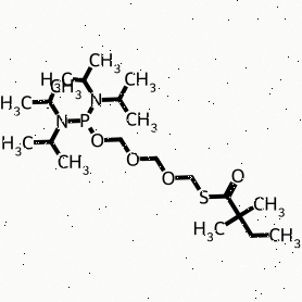 CCC(C)(C)C(=O)SCOCOCOP(N(C(C)C)C(C)C)N(C(C)C)C(C)C